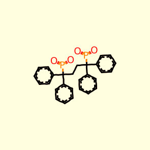 O=P(=O)C(CCC(c1ccccc1)(c1ccccc1)P(=O)=O)(c1ccccc1)c1ccccc1